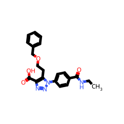 CCNC(=O)c1ccc(-n2nnc(C(=O)O)c2CCOCc2ccccc2)cc1